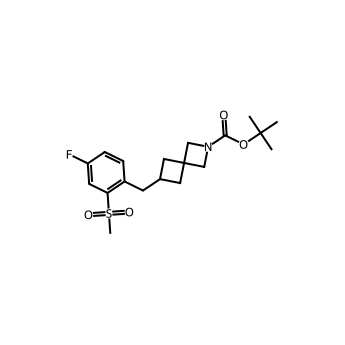 CC(C)(C)OC(=O)N1CC2(CC(Cc3ccc(F)cc3S(C)(=O)=O)C2)C1